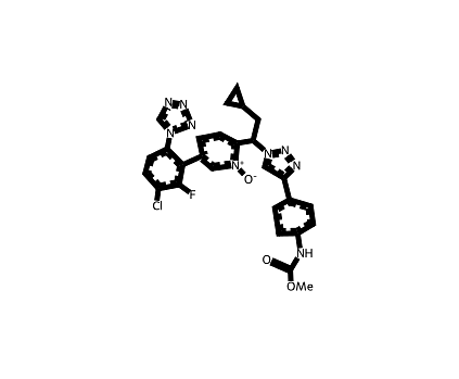 COC(=O)Nc1ccc(-c2cn(C(CC3CC3)c3ccc(-c4c(-n5cnnn5)ccc(Cl)c4F)c[n+]3[O-])nn2)cc1